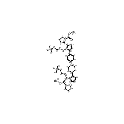 CC(C)(C)OC(=O)N1CCC[C@H]1c1ncc(-c2ccc(N3CCC(c4cnc([C@@H]5CCCN5C(=O)OC(C)(C)C)n4COCC[Si](C)(C)C)CC3)cc2)n1COCC[Si](C)(C)C